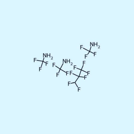 F[C](F)C(F)(F)C(F)(F)F.NC(F)(F)F.NC(F)(F)F.NC(F)(F)F